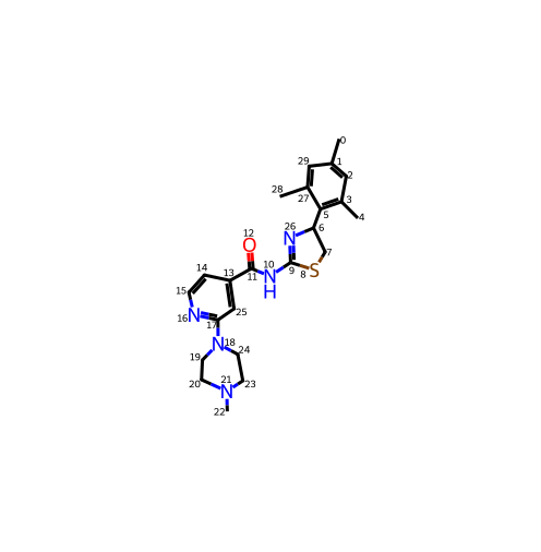 Cc1cc(C)c(C2CSC(NC(=O)c3ccnc(N4CCN(C)CC4)c3)=N2)c(C)c1